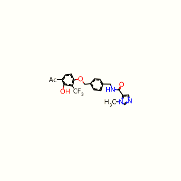 CC(=O)c1ccc(OCc2ccc(CNC(=O)c3cncn3C)cc2)c(C(F)(F)F)c1O